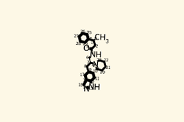 C[C@@H](CC(=O)NC[C@H](Cc1ccc2[nH]ncc2c1)N1CCCCC1)c1ccccc1